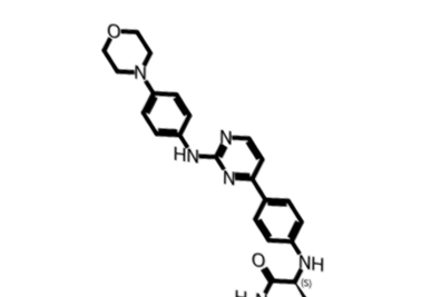 COC[C@H](Nc1ccc(-c2ccnc(Nc3ccc(N4CCOCC4)cc3)n2)cc1)C(N)=O